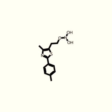 Cc1ccc(-c2nc(C)c(CCON(O)O)s2)cc1